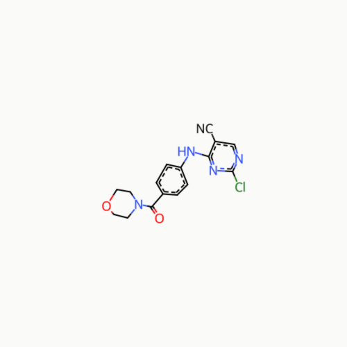 N#Cc1cnc(Cl)nc1Nc1ccc(C(=O)N2CCOCC2)cc1